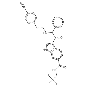 N#Cc1ccc(CCNC(C(=O)c2c[nH]c3cc(C(=O)NCC(F)(F)F)ccc23)c2ccccc2)cc1